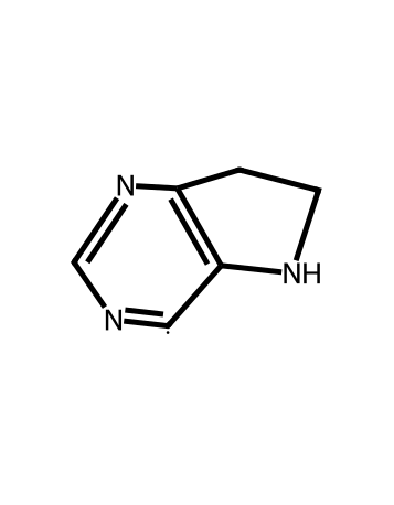 [c]1ncnc2c1NCC2